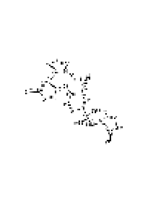 Cn1nccc1-c1cc(Cl)ccc1Oc1ccc(S(=O)(=O)Nc2ncsc2Cl)cc1C#N